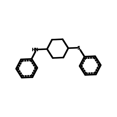 c1ccc(NC2CCC(Sc3ccccc3)CC2)cc1